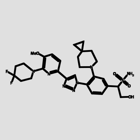 COc1ccc(-c2cn(-c3ccc(C(CO)S(N)(=O)=O)cc3N3CCC4(CC3)CC4)nn2)nc1N1CCC(F)(F)CC1